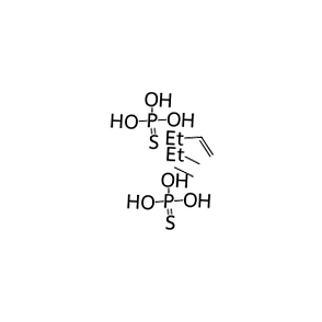 C=CCC.CC.CCC.OP(O)(O)=S.OP(O)(O)=S